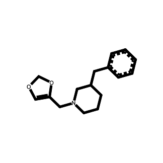 C1=C(CN2CCCC(Cc3ccccc3)C2)OCO1